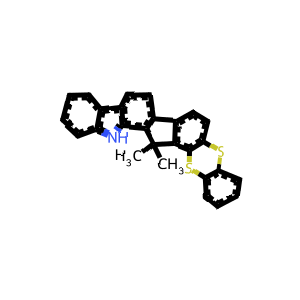 CC1(C)c2c(ccc3c2Sc2ccccc2S3)-c2ccc3c([nH]c4ccccc43)c21